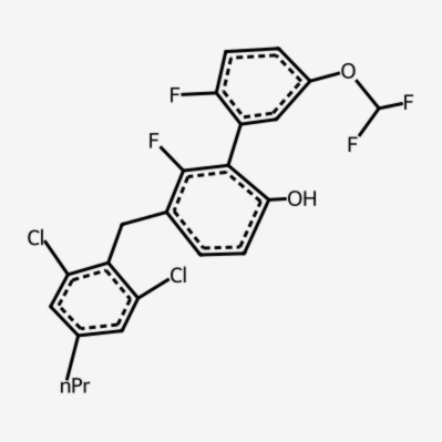 CCCc1cc(Cl)c(Cc2ccc(O)c(-c3cc(OC(F)F)ccc3F)c2F)c(Cl)c1